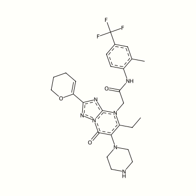 CCc1c(N2CCNCC2)c(=O)n2nc(C3=CCCCO3)nc2n1CC(=O)Nc1ccc(C(F)(F)F)cc1C